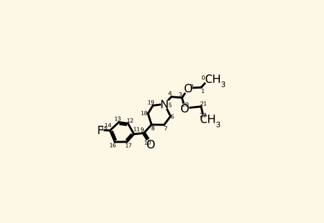 CCOC(CN1CCC(C(=O)c2ccc(F)cc2)CC1)OCC